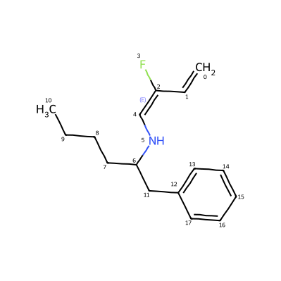 C=C/C(F)=C\NC(CCCC)Cc1ccccc1